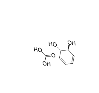 O=C(O)O.O[C@H]1C=CC=C[C@@H]1O